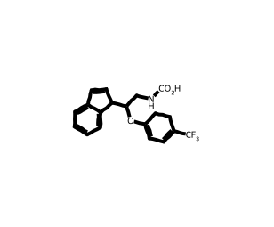 O=C(O)NCC(OC1=CC=C(C(F)(F)F)CC1)C1C=Cc2ccccc21